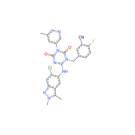 Cc1cncc(-n2c(=O)nc(Nc3cc4c(C)n(C)nc4cc3Cl)n(Cc3ccc(F)c(C#N)c3)c2=O)c1